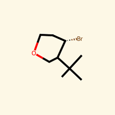 CC(C)(C)C1COCC[C@@H]1Br